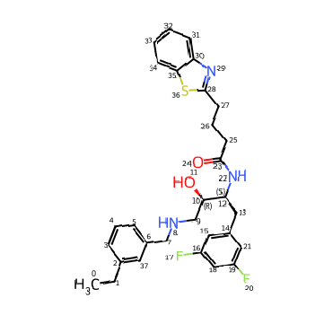 CCc1cccc(CNC[C@@H](O)[C@H](Cc2cc(F)cc(F)c2)NC(=O)CCCc2nc3ccccc3s2)c1